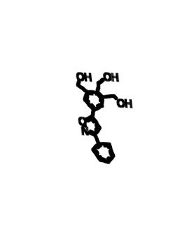 OCc1cc(-c2cc(-c3ccccc3)no2)cc(CO)c1CO